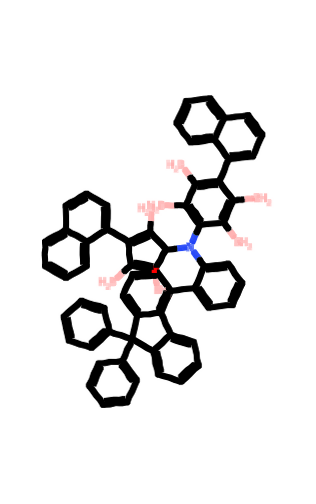 BC1=C(B)C(N(c2ccccc2-c2cccc3c2-c2ccccc2C3(c2ccccc2)c2ccccc2)c2c(B)c(B)c(-c3cccc4ccccc34)c(B)c2B)C(B)=C1c1cccc2ccccc12